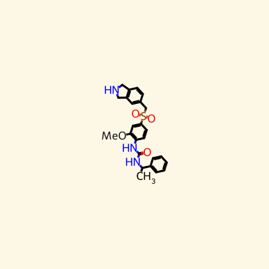 COc1cc(S(=O)(=O)Cc2ccc3c(c2)CNC3)ccc1NC(=O)NC(C)c1ccccc1